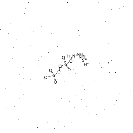 N.O=S(=O)([O-])OOS(=O)(=O)O.[H+].[NH4+].[NH4+].[S-2]